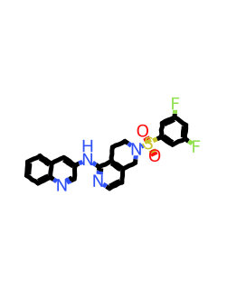 O=S(=O)(c1cc(F)cc(F)c1)N1CCc2c(ccnc2Nc2cnc3ccccc3c2)C1